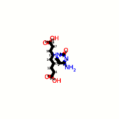 Nc1cc[nH]c(=O)n1.O=C(O)CCCCCCCC(=O)O